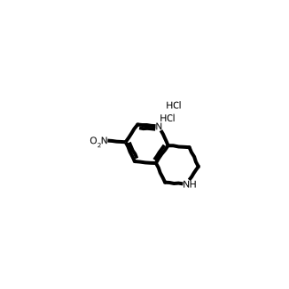 Cl.Cl.O=[N+]([O-])c1cnc2c(c1)CNCC2